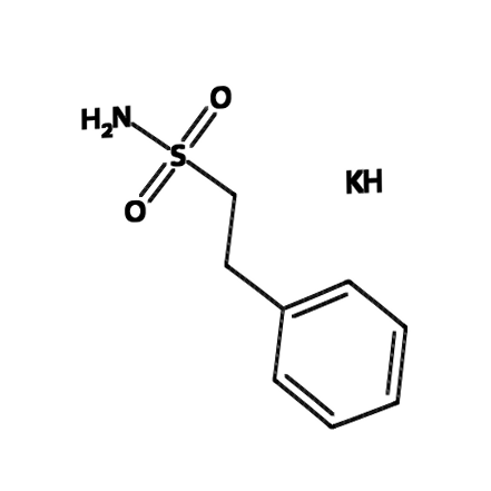 NS(=O)(=O)CCc1ccccc1.[KH]